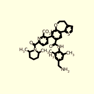 Cc1cc(CN)cc(C)c1NC(=O)c1cc2c(cc1-c1ccc(C(=O)N3C(C)CCCC3C)nc1C(=O)O)OCCc1ccsc1-2